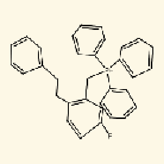 Fc1ccc(CCc2ccccc2)c(C[PH](c2ccccc2)(c2ccccc2)c2ccccc2)c1